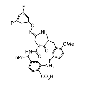 CCCC(NC(=O)N1C/C(=N/OC2C=C(F)C=C(F)C2)NC[C@@H](Cc2cc(F)ccc2OC)C1=O)c1ccc(C(=O)O)c(N)c1